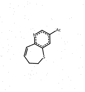 CC(=O)c1cnc2c(c1)SCCC=C2